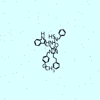 COc1ccc(Cn2c(CCc3ccccc3)nnc2[C@@H](Cc2c[nH]c3ccccc23)NC(=O)N(S)Cc2ccccc2)cc1